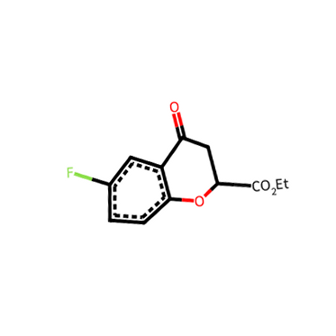 CCOC(=O)C1CC(=O)c2cc(F)ccc2O1